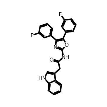 O=C(Cc1c[nH]c2ccccc12)Nc1nc(-c2cccc(F)c2)c(-c2cccc(F)c2)o1